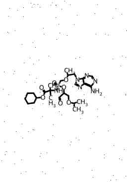 CC(C)OCC(C=O)OP(=O)(COC(C)Cn1cnc2c(N)ncnc21)NC(C)(C)C(=O)OC1CCCCC1